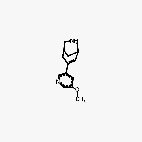 COc1cncc(C2=CC3CNCC(C2)C3)c1